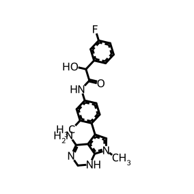 Cc1cc(NC(=O)C(O)c2cccc(F)c2)ccc1-c1cn(C)c2c1C(N)=NCN2